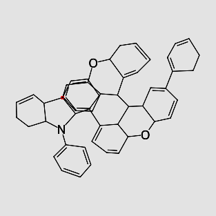 C1=CCCC(C2=CC3C(C=C2)OC2C=CC=C(C4CC=CC5=C4N(c4ccccc4)C4CCC=CC54)C2C3C2C3=CC=CCC3OC3C=CC=CC32)=C1